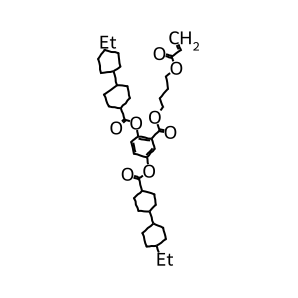 C=CC(=O)OCCCCOC(=O)c1cc(OC(=O)C2CCC(C3CCC(CC)CC3)CC2)ccc1OC(=O)C1CCC(C2CCC(CC)CC2)CC1